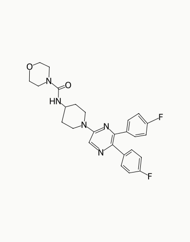 O=C(NC1CCN(c2cnc(-c3ccc(F)cc3)c(-c3ccc(F)cc3)n2)CC1)N1CCOCC1